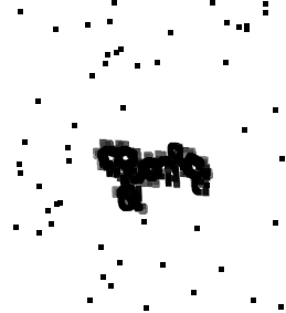 Cc1nc(CN(Cc2ccc(CNC(=O)c3ccnc(Cl)c3)cc2)C2CCCc3cccnc32)co1